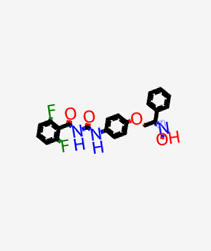 O=C(NC(=O)c1c(F)cccc1F)Nc1ccc(OC/C(=N\O)c2ccccc2)cc1